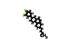 C=CCCC1CCc2c(ccc3c2CCC(c2ccc(F)c(F)c2)C3)C1